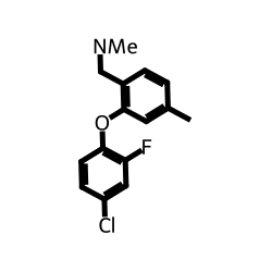 CNCc1ccc(C)cc1Oc1ccc(Cl)cc1F